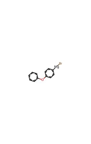 [Br][Mg][c]1ccc(Oc2ccccc2)cc1